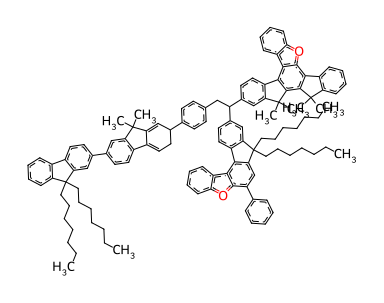 CCCCCCCC1(CCCCCCC)c2ccccc2-c2ccc(-c3ccc4c(c3)C(C)(C)C3=CC(c5ccc(CC(c6ccc7c(c6)C(C)(C)c6c8c(c9oc%10ccccc%10c9c6-7)-c6ccccc6C8(C)C)c6ccc7c(c6)C(CCCCCCC)(CCCCCCC)c6cc(-c8ccccc8)c8oc9ccccc9c8c6-7)cc5)CC=C34)cc21